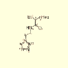 CCCCCCC(CC)C(=O)NCCn1cnnn1